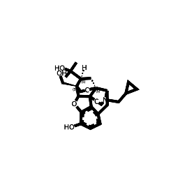 CC(C)(O)[C@H]1C[C@@]23CC[C@]1(CO)C1Oc4c(O)ccc5c4C12CCN(CC1CC1)C3C5